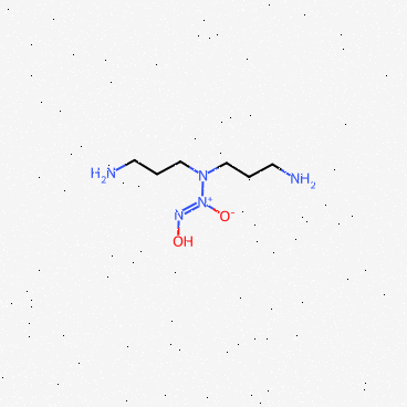 NCCCN(CCCN)[N+]([O-])=NO